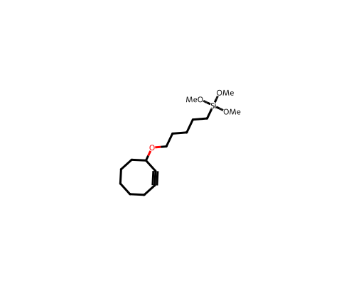 CO[Si](CCCCCOC1C#CCCCCC1)(OC)OC